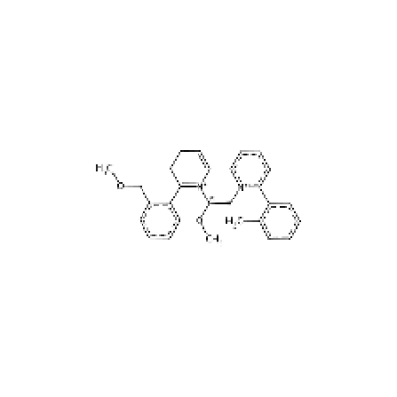 COCc1ccccc1C1=[N+]([C@@H](C[n+]2ccccc2-c2ccccc2C)OC)C=CCC1